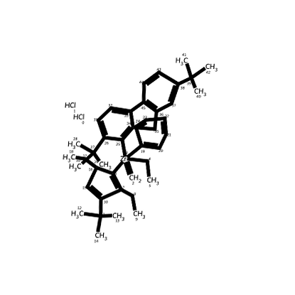 Cl.Cl.[CH2]=[Zr]([CH2]C)([C]1=C(CC)C(C(C)(C)C)=CC1CC)([c]1ccccc1)[c]1c(C(C)(C)C)ccc2c1Cc1cc(C(C)(C)C)ccc1-2